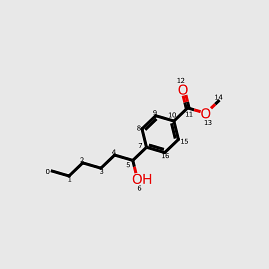 CCCCCC(O)c1ccc(C(=O)OC)cc1